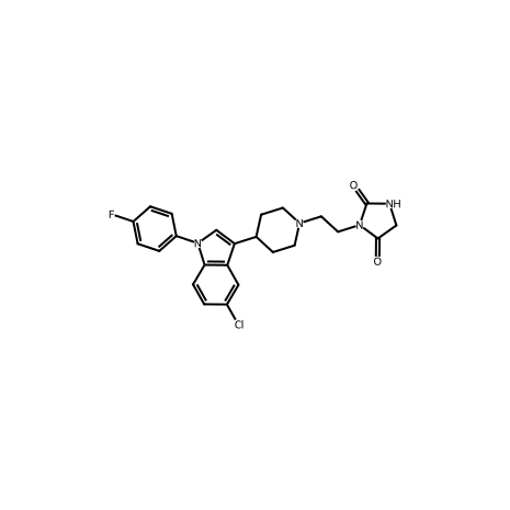 O=C1CNC(=O)N1CCN1CCC(c2cn(-c3ccc(F)cc3)c3ccc(Cl)cc23)CC1